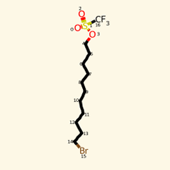 O=S(=O)(OCCCCCCCCCCCBr)C(F)(F)F